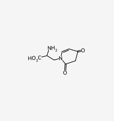 NC(CN1C=CC(=O)CC1=O)C(=O)O